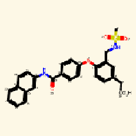 CS(=O)(=O)NCc1cc(CC(=O)O)ccc1Oc1ccc(C(=O)Nc2ccc3ccccc3c2)cc1